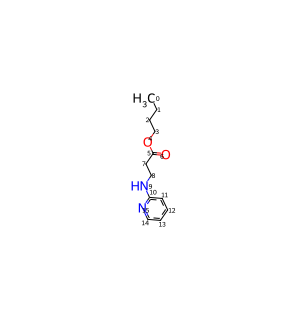 CCCCOC(=O)CCNc1ccccn1